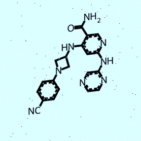 N#Cc1ccc(N2CC(Nc3cc(Nc4cnccn4)ncc3C(N)=O)C2)cc1